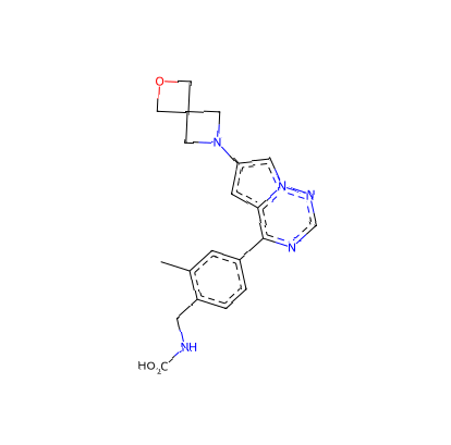 Cc1cc(-c2ncnn3cc(N4CC5(COC5)C4)cc23)ccc1CNC(=O)O